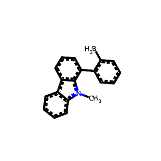 Bc1ccccc1-c1cccc2c3ccccc3n(C)c12